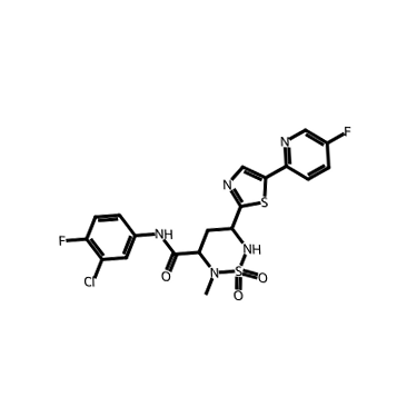 CN1C(C(=O)Nc2ccc(F)c(Cl)c2)CC(c2ncc(-c3ccc(F)cn3)s2)NS1(=O)=O